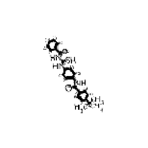 CC(C)(C)c1ccc(C(=O)Nc2ccc(NC(S)NC(=O)c3ccccc3)cc2)cc1